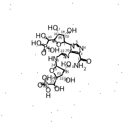 NC(=O)c1ncn(C2O[C@@H](C(O)P(=O)(O)O)[C@H](O)[C@@H]2O)c1N=CNC1O[C@H](C(O)P(=O)(O)O)[C@@H](O)[C@H]1O